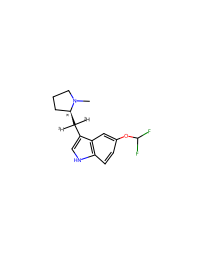 [2H]C([2H])(c1c[nH]c2ccc(OC(F)F)cc12)[C@H]1CCCN1C